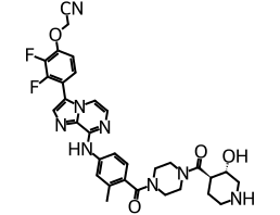 Cc1cc(Nc2nccn3c(-c4ccc(OCC#N)c(F)c4F)cnc23)ccc1C(=O)N1CCN(C(=O)[C@@H]2CCNC[C@H]2O)CC1